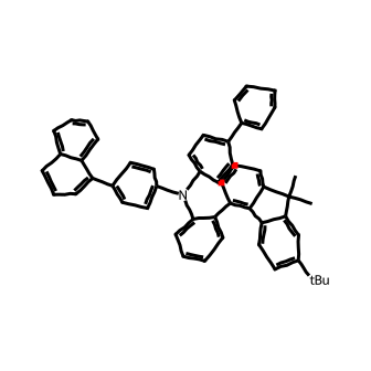 CC(C)(C)c1ccc2c(c1)C(C)(C)c1cccc(-c3ccccc3N(c3ccc(-c4ccccc4)cc3)c3ccc(-c4cccc5ccccc45)cc3)c1-2